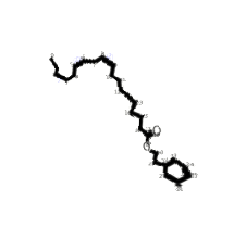 CC/C=C\C/C=C\C/C=C\CCCCCCCC(=O)OCCc1ccccc1